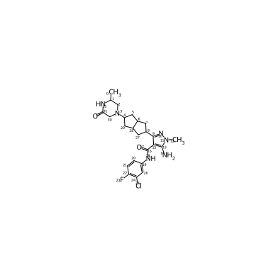 CC1CN(C2CC3CC(c4nn(C)c(N)c4C(=O)Nc4ccc(F)c(Cl)c4)CC3C2)CC(=O)N1